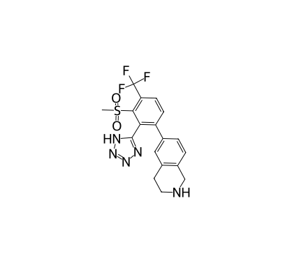 CS(=O)(=O)c1c(C(F)(F)F)ccc(-c2ccc3c(c2)CCNC3)c1-c1nnn[nH]1